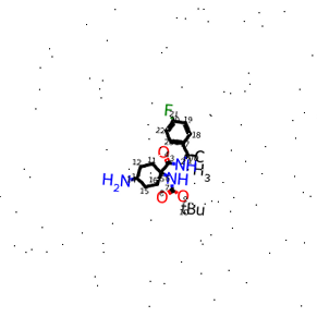 C[C@@H](NC(=O)C1(NC(=O)OC(C)(C)C)CCC(N)CC1)c1ccc(F)cc1